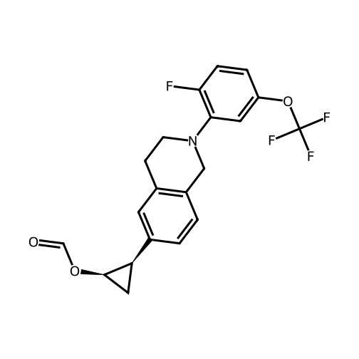 O=CO[C@@H]1C[C@@H]1c1ccc2c(c1)CCN(c1cc(OC(F)(F)F)ccc1F)C2